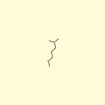 C[N]CCCN(C)C